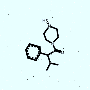 CC(C)C(C(=O)N1CCN(S)CC1)c1ccccc1